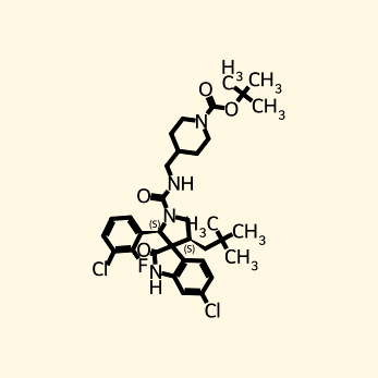 CC(C)(C)C[C@@H]1CN(C(=O)NCC2CCN(C(=O)OC(C)(C)C)CC2)[C@H](c2cccc(Cl)c2F)C12C(=O)Nc1cc(Cl)ccc12